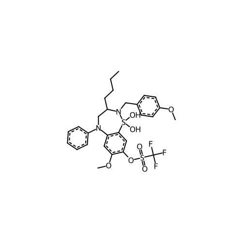 CCCCC1CN(c2ccccc2)c2cc(OC)c(OS(=O)(=O)C(F)(F)F)cc2S(O)(O)N1Cc1ccc(OC)cc1